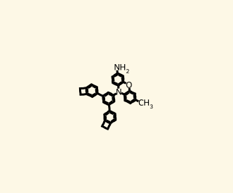 Cc1ccc2c(c1)Oc1cc(N)ccc1N2c1cc(-c2ccc3c(c2)CC3)cc(-c2ccc3c(c2)CC3)c1